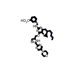 C/C=C/C=C\C(=C\c1nc(NSc2cccc(C(=O)O)c2)nc(OCC(CC(C)(C)C)NCc2ncc(N3CCOCC3)cn2)c1C)C1CC1